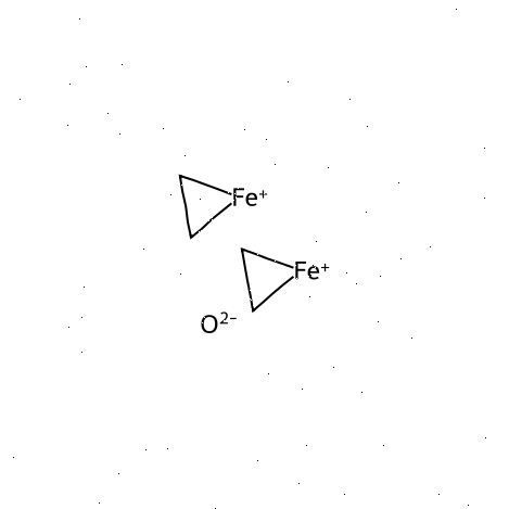 [CH2]1[CH2][Fe+]1.[CH2]1[CH2][Fe+]1.[O-2]